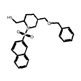 O=S(=O)(c1ccc2ccccc2c1)N1CC(COCc2ccccc2)CCC1CS